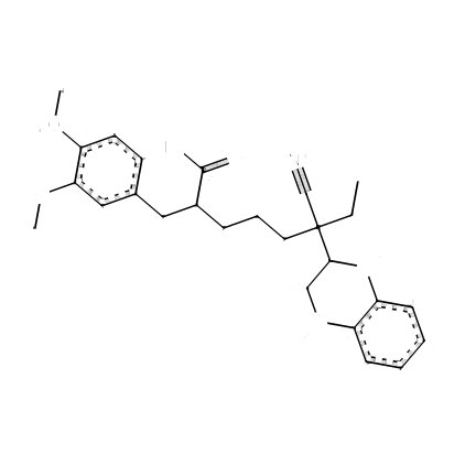 CCC(C#N)(CCCC(Cc1ccc(OC)c(OC)c1)C(=O)O)C1COc2ccccc2O1